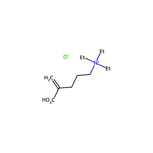 C=C(CCC[N+](CC)(CC)CC)C(=O)O.[Cl-]